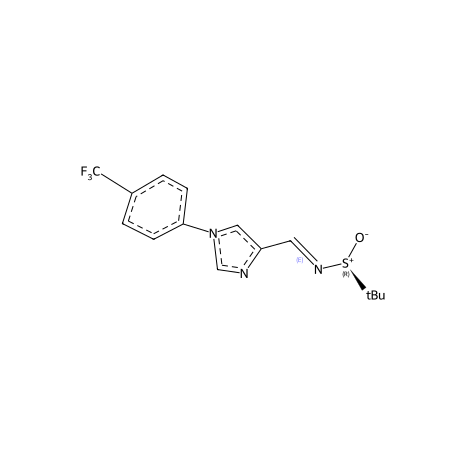 CC(C)(C)[S@+]([O-])/N=C/c1cn(-c2ccc(C(F)(F)F)cc2)cn1